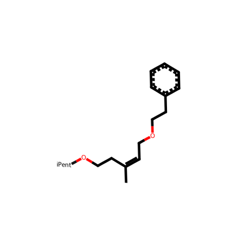 CCCC(C)OCCC(C)=CCOCCc1ccccc1